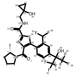 C[C@H]1CCCN1C(=O)c1nc(C(=O)NCC2(O)CC2)sc1-c1ccc(C(O)(C(F)(F)F)C(F)(F)F)cc1C(F)F